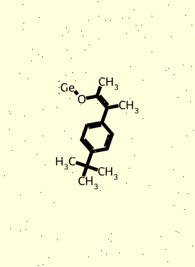 CC([O][Ge])=C(C)c1ccc(C(C)(C)C)cc1